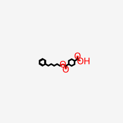 O=C(O)C1CCC(C(=O)OCCCCCc2ccccc2)CC1